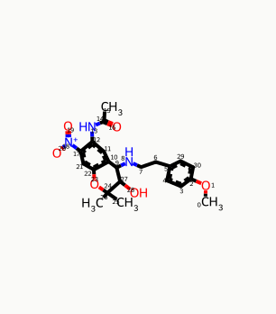 COc1ccc(CCNC2c3cc(NC(C)=O)c([N+](=O)[O-])cc3OC(C)(C)C2O)cc1